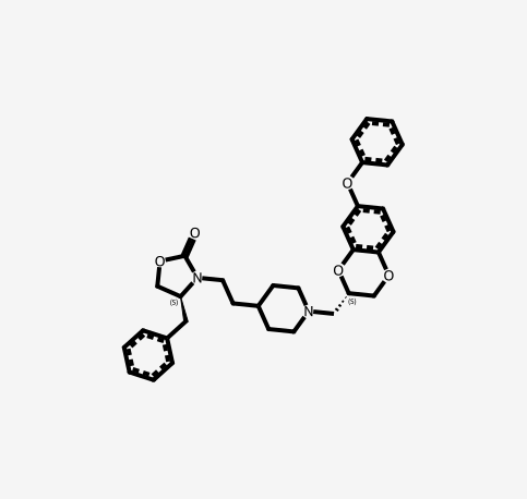 O=C1OC[C@H](Cc2ccccc2)N1CCC1CCN(C[C@H]2COc3ccc(Oc4ccccc4)cc3O2)CC1